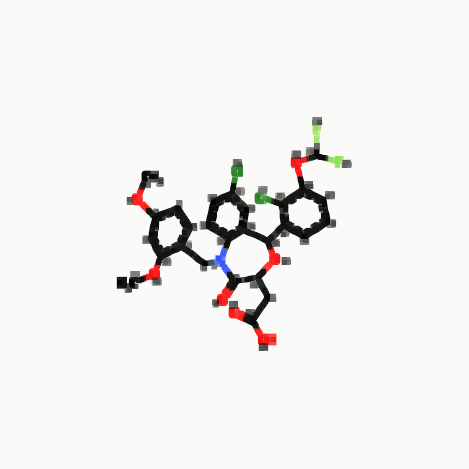 COc1ccc(CN2C(=O)C(CC(=O)O)OC(c3cccc(OC(F)F)c3Cl)c3cc(Cl)ccc32)c(OC)c1